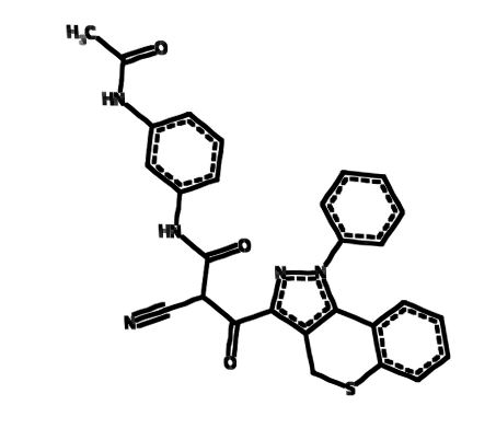 CC(=O)Nc1cccc(NC(=O)C(C#N)C(=O)c2nn(-c3ccccc3)c3c2CSc2ccccc2-3)c1